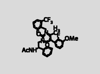 COc1cccc(-c2c(C)n(Cc3c(F)cccc3C(F)(F)F)c(=O)n(C[C@H](NC(C)=O)c3ccccc3)c2=O)c1F